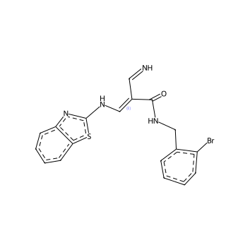 N=C/C(=C\Nc1nc2ccccc2s1)C(=O)NCc1ccccc1Br